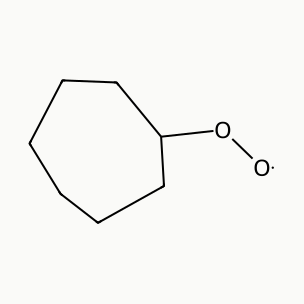 [O]OC1CCCCCC1